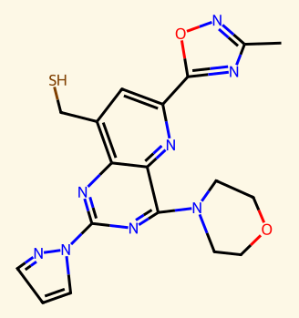 Cc1noc(-c2cc(CS)c3nc(-n4cccn4)nc(N4CCOCC4)c3n2)n1